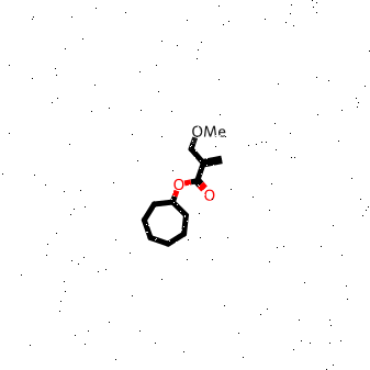 C=C(COC)C(=O)OC1CCCCCC1